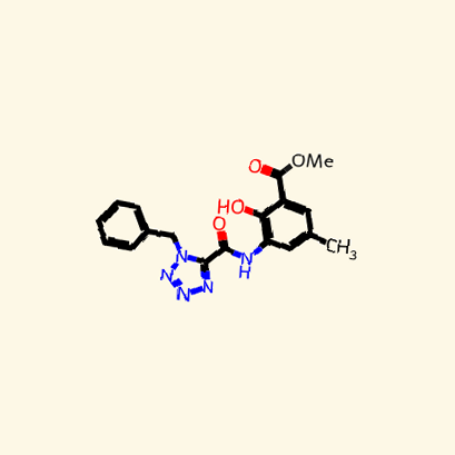 COC(=O)c1cc(C)cc(NC(=O)c2nnnn2Cc2ccccc2)c1O